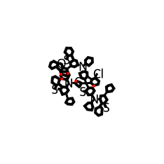 Clc1cccc2c1-c1cc(N(c3ccccc3)c3cc(-c4cccc5c4oc4ccccc45)c4sc5ccccc5c4c3)ccc1C21c2ccc(N(c3ccccc3)c3cc(-c4ccccc4)cc4sc5ccccc5c34)cc2Sc2cc(N(c3ccccc3)c3cc(-c4ccccc4)cc4sc5ccccc5c34)ccc21